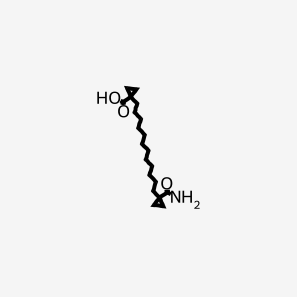 NC(=O)C1(CCCCCCCCCCCCC2(C(=O)O)CC2)CC1